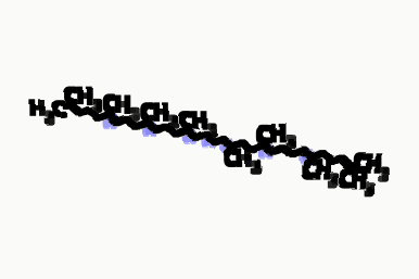 CC(C)=CCC/C(C)=C/CC/C=C(\C)CC/C(C)=C/C=C/C=C(\C)CC/C=C(\C)CC/C=C(\C)CCC=C(C)C